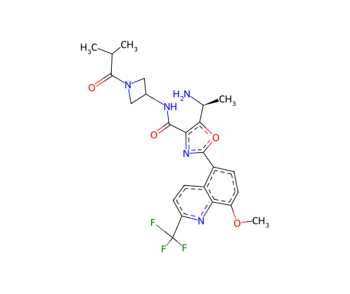 COc1ccc(-c2nc(C(=O)NC3CN(C(=O)C(C)C)C3)c([C@H](C)N)o2)c2ccc(C(F)(F)F)nc12